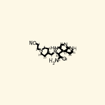 N#CCCN1CCC([CH]N2Nc3cnc4[nH]ccc4c3C2C(N)=O)CC1